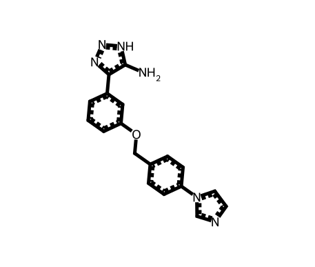 Nc1[nH]nnc1-c1cccc(OCc2ccc(-n3ccnc3)cc2)c1